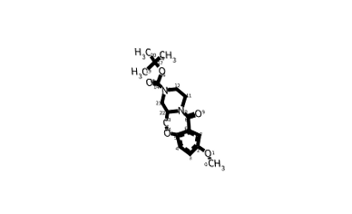 COc1ccc2c(c1)C(=O)N1CCN(C(=O)OC(C)(C)C)CC1CO2